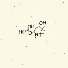 CN1C(OP(O)O)CC(O)C(C)(C)C1(C)C